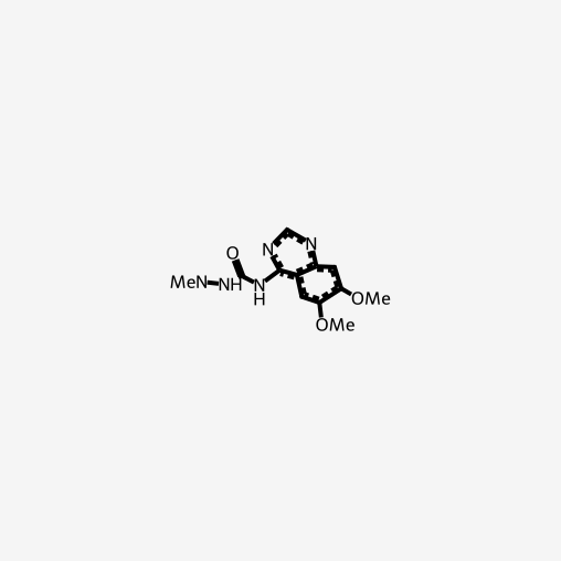 CNNC(=O)Nc1ncnc2cc(OC)c(OC)cc12